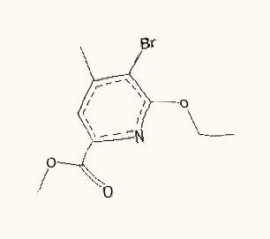 CCOc1nc(C(=O)OC)cc(C)c1Br